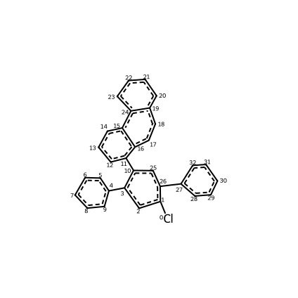 Clc1cc(-c2ccccc2)c(-c2cccc3c2ccc2ccccc23)cc1-c1ccccc1